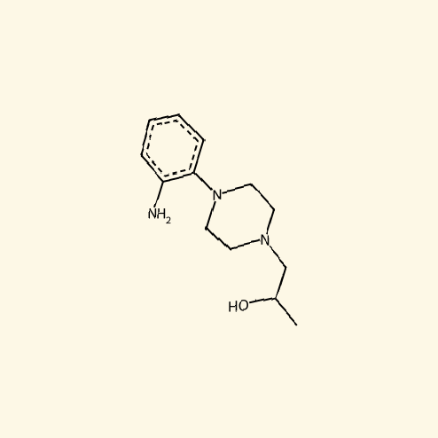 CC(O)CN1CCN(c2ccccc2N)CC1